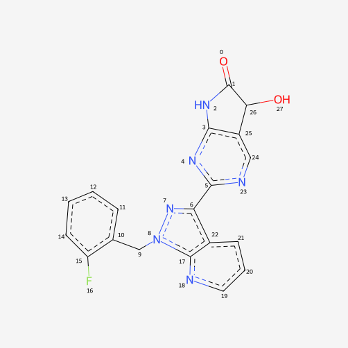 O=C1Nc2nc(-c3nn(Cc4ccccc4F)c4ncccc34)ncc2C1O